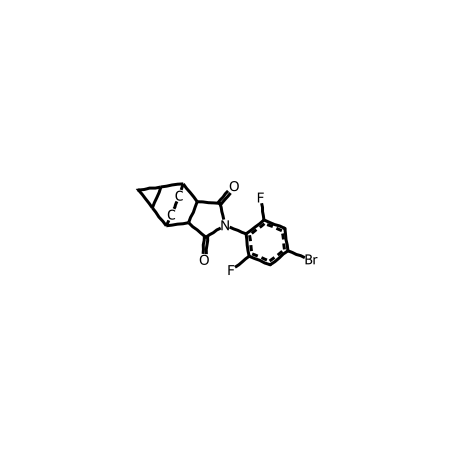 O=C1C2C3CCC(C4CC43)C2C(=O)N1c1c(F)cc(Br)cc1F